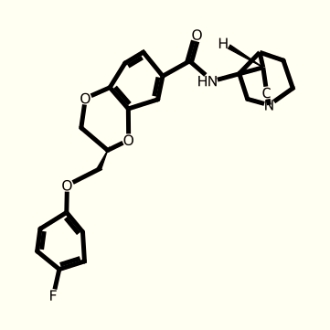 O=C(N[C@H]1CN2CCC1CC2)c1ccc2c(c1)O[C@@H](COc1ccc(F)cc1)CO2